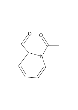 CC(=O)N1C=CC=CC1C=O